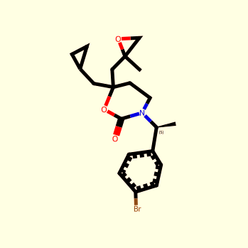 C[C@@H](c1ccc(Br)cc1)N1CCC(CC2CC2)(CC2(C)CO2)OC1=O